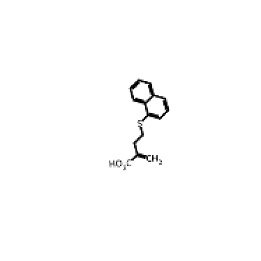 C=C(CCSc1cccc2ccccc12)C(=O)O